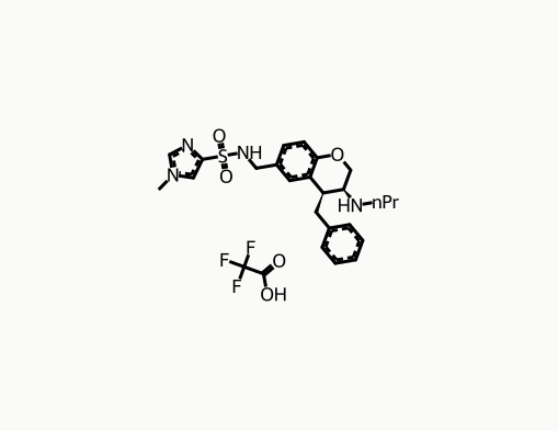 CCCN[C@@H]1COc2ccc(CNS(=O)(=O)c3cn(C)cn3)cc2[C@@H]1Cc1ccccc1.O=C(O)C(F)(F)F